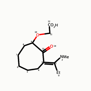 CC/C(NC)=C1\CCCCCC(OCC(=O)O)C1=O